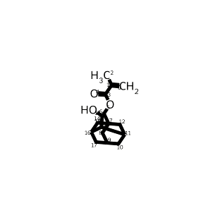 C=C(C)C(=O)OCC12CC3CC(C1)C(CO)C(C3)C2